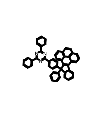 c1ccc(-c2nc(-c3ccccc3)nc(-c3ccc(C4(c5ccccc5)c5ccccc5-c5c4c4cccc6ccc7cccc5c7c64)cc3)n2)cc1